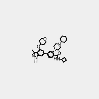 Cc1n[nH]c2cc(-c3ccc(C(=O)NC4CCC4)c(N4CCN(C5CCCCC5)CC4)c3)cc(OC3CCOCC3)c12